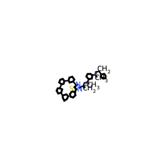 C=C(/C=C(\C)c1cccc(/C(C)=C/C(=C)c2nc(-c3cccc(-c4cccc(-c5cccc(-c6ccccc6)c5)c4)c3)c3sc4ccccc4c3n2)c1)c1ccccc1